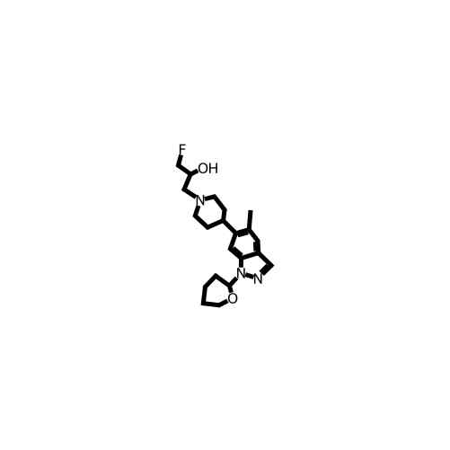 Cc1cc2cnn(C3CCCCO3)c2cc1C1CCN(CC(O)CF)CC1